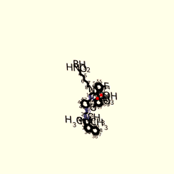 BNC(=O)CCCCC[N+]1=C(/C=C/C2=C(Oc3ccc(S(=O)(=O)O)cc3)C(=C/C=C3/N(C)c4ccc5ccccc5c4C3(C)C)/CCC2)C(C)(C)c2cc(F)ccc21